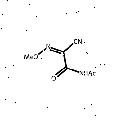 CON=C(C#N)C(=O)NC(C)=O